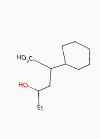 CCC(O)CC(C(=O)O)C1CCCCC1